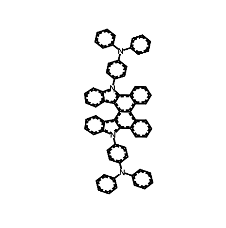 c1ccc(N(c2ccccc2)c2ccc(-n3c4ccccc4c4c5c(c6ccccc6c43)c3ccccc3c3c5c4ccccc4n3-c3ccc(N(c4ccccc4)c4ccccc4)cc3)cc2)cc1